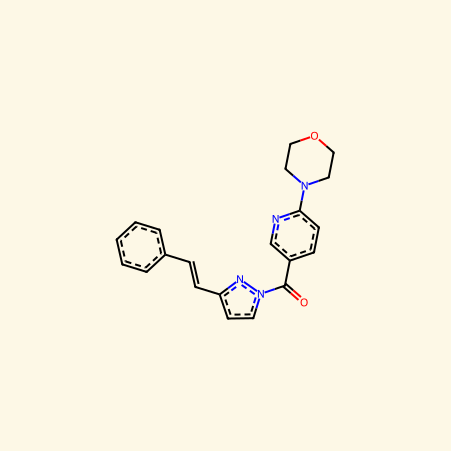 O=C(c1ccc(N2CCOCC2)nc1)n1ccc(C=Cc2ccccc2)n1